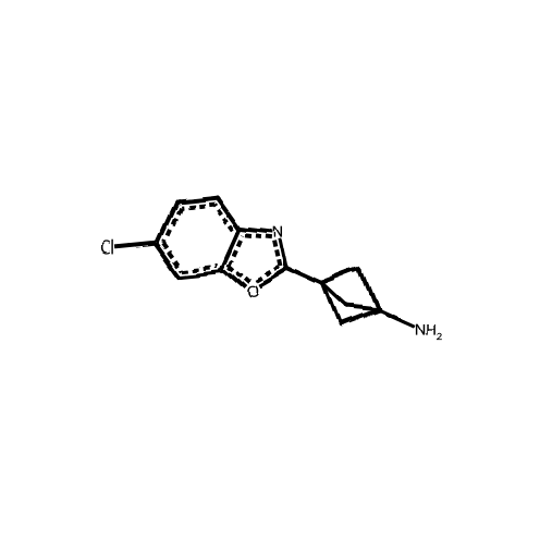 NC12CC(c3nc4ccc(Cl)cc4o3)(C1)C2